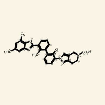 Cc1c(-c2nc3cc(C=O)cc(C#N)c3o2)cccc1-c1cccc(-n2cc3c(n2)CCN(C(=O)O)C3)c1Cl